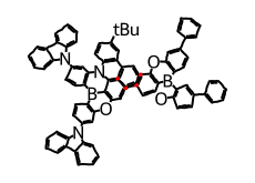 CC(C)(C)c1ccc(N2c3cc(-n4c5ccccc5c5ccccc54)ccc3B3c4ccc(-n5c6ccccc6c6ccccc65)cc4Oc4cc(-c5cc6c7c(c5)Oc5ccc(-c8ccccc8)cc5B7c5ccc(-c7ccccc7)cc5O6)cc2c43)c(-c2ccccc2)c1